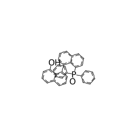 O=P(c1ccccc1)(c1ccccc1)c1cccc2cccc(-c3cccc4cccc(O)c34)c12